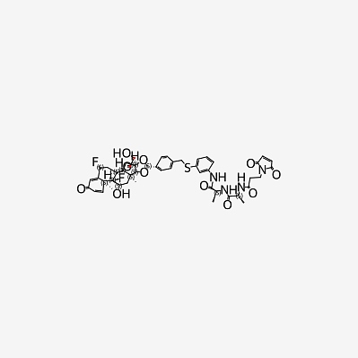 C[C@H](NC(=O)CCN1C(=O)C=CC1=O)C(=O)N[C@@H](C)C(=O)Nc1cccc(SCc2ccc([C@H]3O[C@@H]4C[C@H]5[C@@H]6C[C@H](F)C7=CC(=O)C=C[C@]7(C)[C@@]6(F)[C@@H](O)C[C@]5(C)[C@]4(C(=O)CO)O3)cc2)c1